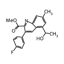 COC(=O)c1nc2cc(C)cc(C(C)O)c2cc1-c1ccc(F)cc1